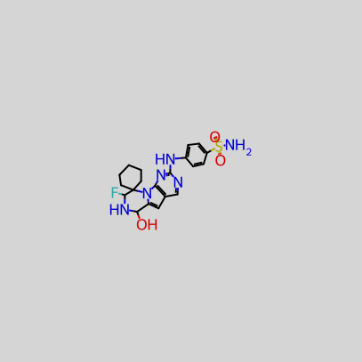 NS(=O)(=O)c1ccc(Nc2ncc3cc4n(c3n2)C2(CCCCC2)C(F)NC4O)cc1